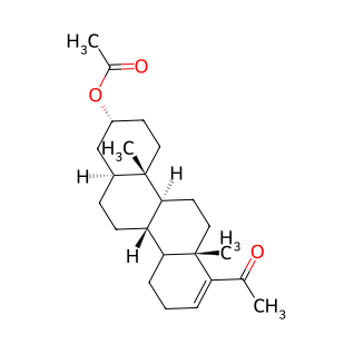 CC(=O)O[C@@H]1CC[C@@]2(C)[C@@H](CC[C@H]3C4CCC=C(C(C)=O)[C@@]4(C)CC[C@@H]32)C1